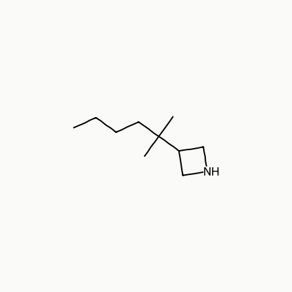 CCCCC(C)(C)C1CNC1